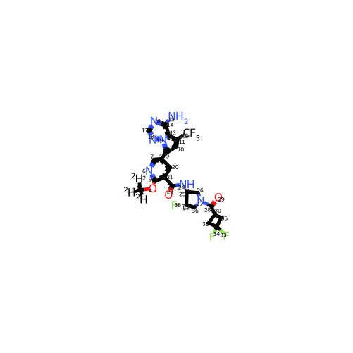 [2H]C([2H])([2H])Oc1ncc(-c2cc(C(F)(F)F)c3c(N)ncnn23)cc1C(=O)N[C@@H]1CN(C(=O)C2CC(F)(F)C2)C[C@@H]1F